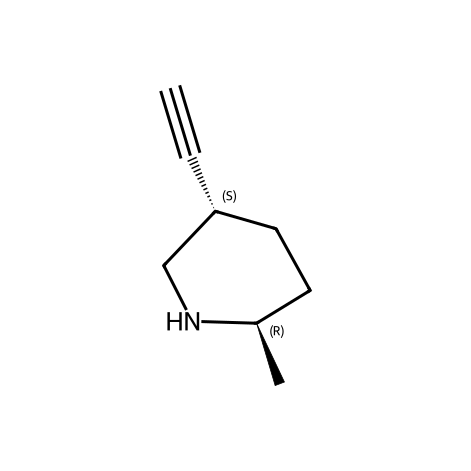 C#C[C@@H]1CC[C@@H](C)NC1